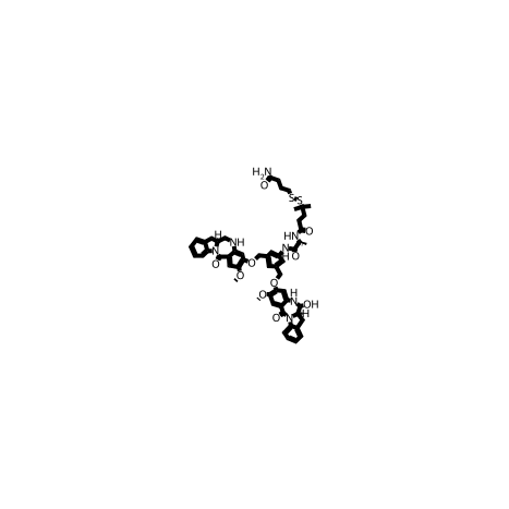 COc1cc2c(cc1OCc1cc(COc3cc4c(cc3OC)C(=O)N3c5ccccc5C[C@H]3C(O)N4)cc(NC(=O)[C@H](C)NC(=O)CCC(C)(C)SSCCCC(N)=O)c1)NC[C@@H]1Cc3ccccc3N1C2=O